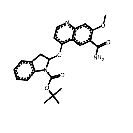 COc1cc2nccc(OC3Cc4ccccc4N3C(=O)OC(C)(C)C)c2cc1C(N)=O